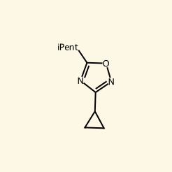 CCCC(C)c1nc(C2CC2)no1